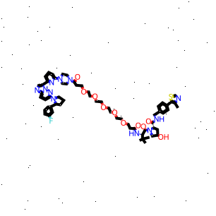 Cc1ncsc1-c1ccc(CNC(=O)[C@@H]2C[C@@H](O)CN2C(=O)[C@@H](NC(=O)CCOCCOCCOCCOCCOCCC(=O)N2CCN(c3cccc(-c4cnc5ccc(N6CCCC6c6cccc(F)c6)nn45)n3)CC2)C(C)(C)C)cc1